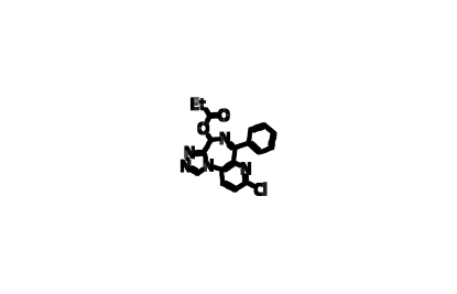 CCC(=O)OC1N=C(c2ccccc2)c2nc(Cl)ccc2-n2cnnc21